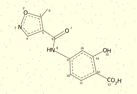 Cc1oncc1C(=O)Nc1ccc(C(=O)O)c(O)c1